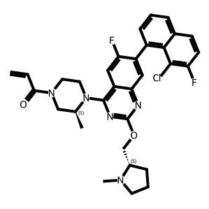 C=CC(=O)N1CCN(c2nc(OC[C@@H]3CCCN3C)nc3cc(-c4cccc5ccc(F)c(Cl)c45)c(F)cc23)[C@@H](C)C1